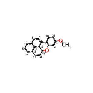 COc1ccc(-c2ccc3cccc4c3c2C(=O)C=C4)cc1